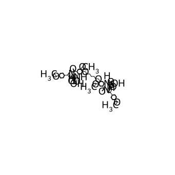 COc1ccc(C2=CN3C(=O)c4cc(OC)c(OCCCCCOc5cc6c(cc5OC)C(=O)N5C=C(c7ccc(OC)cc7)C[C@H]5[C@H](S(=O)(=O)O)N6)cc4N[C@@H](S(=O)(=O)O)[C@@H]3C2)cc1